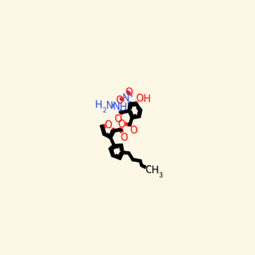 CCCCCc1cccc(-c2ccoc2C(=O)OC(=O)c2ccc(O)c([N+](=O)[O-])c2C(=O)NN)c1